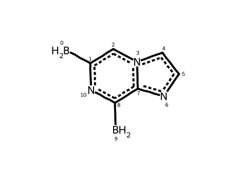 Bc1cn2ccnc2c(B)n1